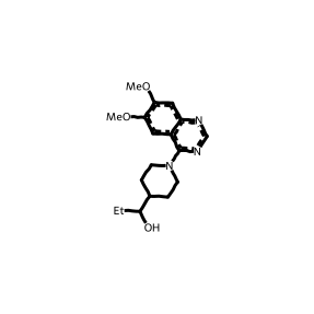 CCC(O)C1CCN(c2ncnc3cc(OC)c(OC)cc23)CC1